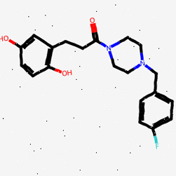 O=C(CCc1cc(O)ccc1O)N1CCN(Cc2ccc(F)cc2)CC1